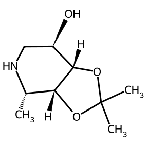 C[C@@H]1NC[C@@H](O)[C@@H]2OC(C)(C)O[C@@H]21